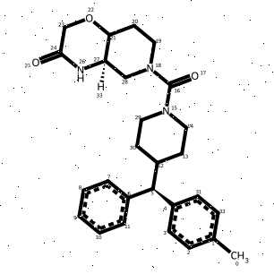 Cc1ccc([C@@H](c2ccccc2)C2CCN(C(=O)N3CCC4OCC(=O)N[C@@H]4C3)CC2)cc1